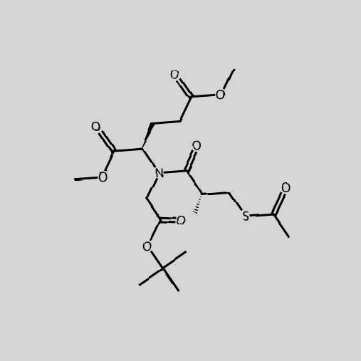 COC(=O)CC[C@H](C(=O)OC)N(CC(=O)OC(C)(C)C)C(=O)[C@@H](C)CSC(C)=O